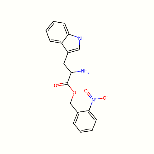 NC(Cc1c[nH]c2ccccc12)C(=O)OCc1ccccc1[N+](=O)[O-]